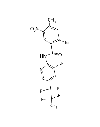 Cc1cc(Br)c(C(=O)Nc2ncc(C(F)(F)C(F)(F)C(F)(F)F)cc2F)cc1[N+](=O)[O-]